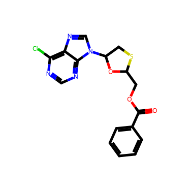 O=C(OCC1OC(n2cnc3c(Cl)ncnc32)CS1)c1ccccc1